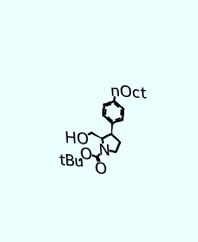 CCCCCCCCc1ccc([C@H]2CCN(C(=O)OC(C)(C)C)[C@H]2CO)cc1